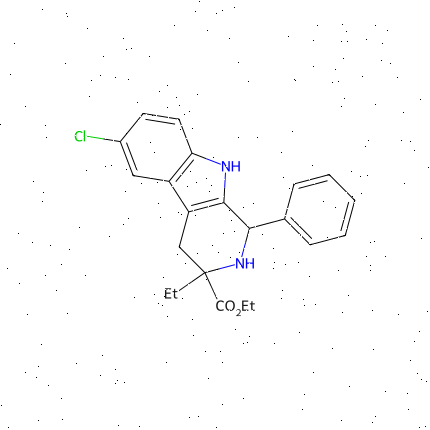 CCOC(=O)C1(CC)Cc2c([nH]c3ccc(Cl)cc23)C(c2ccccc2)N1